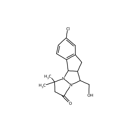 CC1(C)CC(=O)N2C(CO)C3Cc4cc(Cl)ccc4C3N21